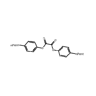 CCCCCc1ccc(OC(=O)C(=O)Oc2ccc(CCCCC)cc2)cc1